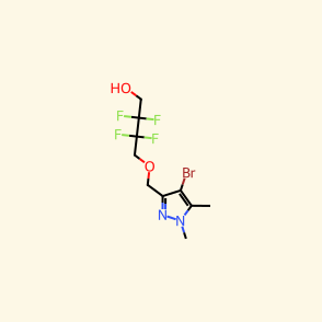 Cc1c(Br)c(COCC(F)(F)C(F)(F)CO)nn1C